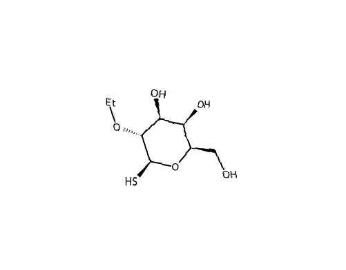 CCO[C@@H]1[C@@H](O)[C@@H](O)[C@@H](CO)O[C@H]1S